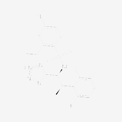 CCc1cc(Cl)ccc1S(=O)(=O)N[C@H](c1nn[nH]n1)[C@H](C)c1c(F)ccc(C)c1C